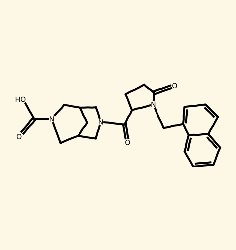 O=C(O)N1CC2CC(C1)CN(C(=O)C1CCC(=O)N1Cc1cccc3ccccc13)C2